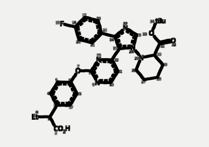 CCC(C(=O)O)c1ccc(Oc2nccc(-c3c(-c4ccc(F)cc4)ncn3N3CCCCC3C(=O)OC(C)(C)C)n2)cc1